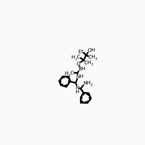 CCC(C)(O)C(C)(C)OBC(C)NC(NC(N)c1ccccc1)c1ccccc1